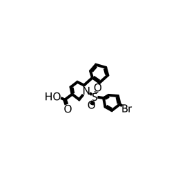 O=C(O)C1=CCC(c2ccccc2)N(S(=O)(=O)c2ccc(Br)cc2)C1